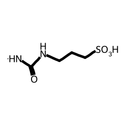 [NH]C(=O)NCCCS(=O)(=O)O